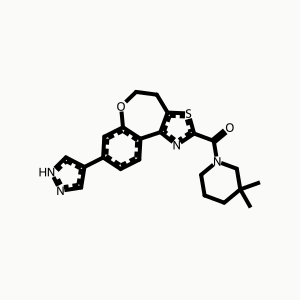 CC1(C)CCCN(C(=O)c2nc3c(s2)CCOc2cc(-c4cn[nH]c4)ccc2-3)C1